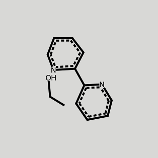 CCO.c1ccc(-c2ccccn2)nc1